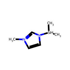 C[n+]1ccn([SiH](C)C)c1